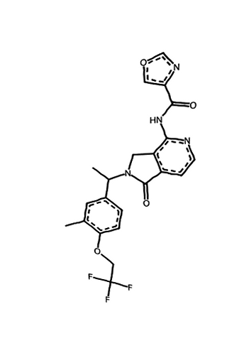 Cc1cc(C(C)N2Cc3c(ccnc3NC(=O)c3cocn3)C2=O)ccc1OCC(F)(F)F